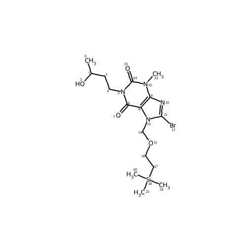 CC(O)CCn1c(=O)c2c(nc(Br)n2COCC[Si](C)(C)C)n(C)c1=O